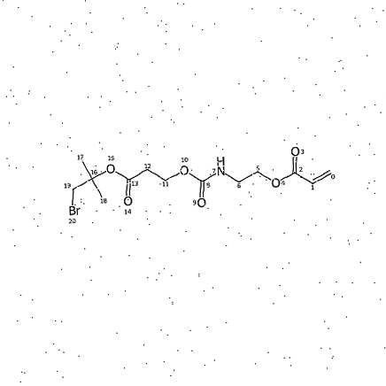 C=CC(=O)OCCNC(=O)OCCC(=O)OC(C)(C)CBr